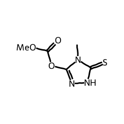 COC(=O)Oc1n[nH]c(=S)n1C